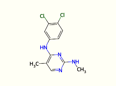 CNc1ncc(C)c(Nc2ccc(Cl)c(Cl)c2)n1